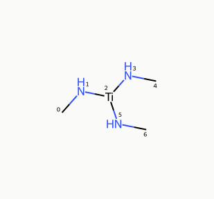 C[NH][Ti]([NH]C)[NH]C